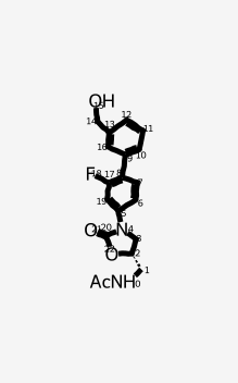 CC(=O)NC[C@H]1CN(c2ccc(-c3cccc(CO)c3)c(F)c2)C(=O)O1